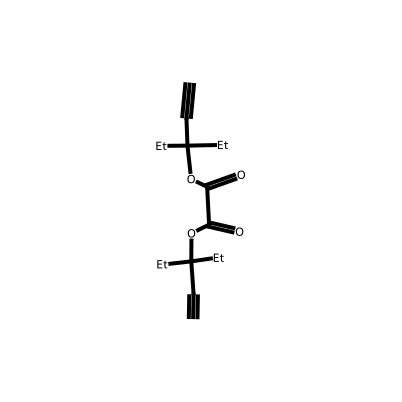 C#CC(CC)(CC)OC(=O)C(=O)OC(C#C)(CC)CC